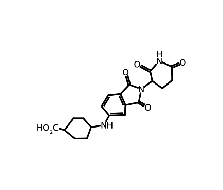 O=C1CCC(N2C(=O)c3ccc(NC4CCC(C(=O)O)CC4)cc3C2=O)C(=O)N1